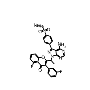 CNS(=O)(=O)c1ccc(-c2nn(C(C)c3oc4cccc(F)c4c(=O)c3-c3cccc(F)c3)c3ncnc(N)c23)cc1